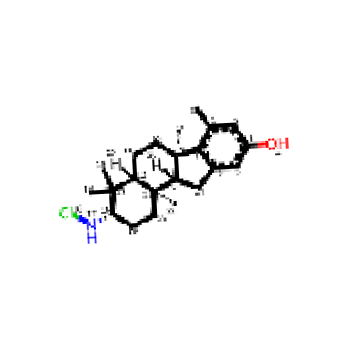 Cc1cc(O)cc2c1[C@]1(C)CC[C@H]3C(C)(C)[C@@H](NCl)CC[C@]3(C)[C@H]1C2